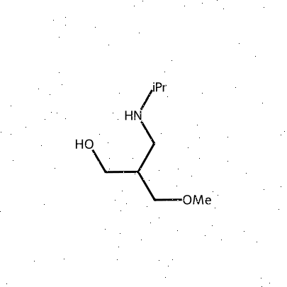 COCC(CO)CNC(C)C